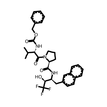 CC(C)[C@H](NC(=O)OCc1ccccc1)C(=O)N1CCC[C@H]1C(=O)N[C@@H](Cc1ccc2ccccc2c1)[C@H](O)C(F)(F)F